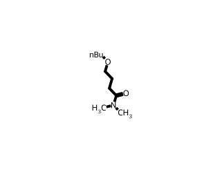 CCCCOCCCC(=O)N(C)C